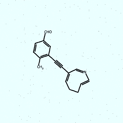 Cc1ccc(C=O)cc1C#CC1=C/CC/C=C/N=C\1